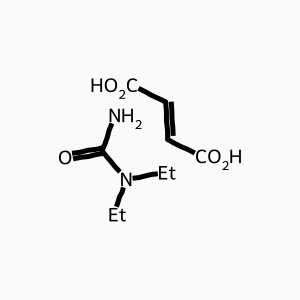 CCN(CC)C(N)=O.O=C(O)C=CC(=O)O